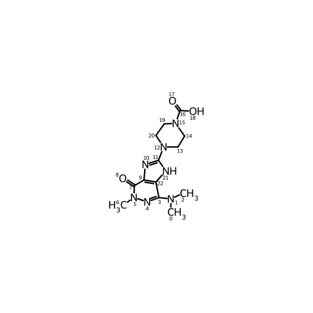 CN(C)c1nn(C)c(=O)c2nc(N3CCN(C(=O)O)CC3)[nH]c12